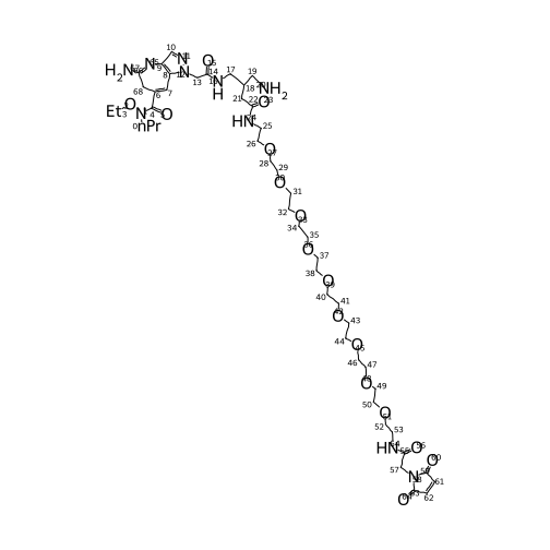 CCCN(OCC)C(=O)C1=Cc2c(cnn2CC(=O)NCC(CN)CC(=O)NCCOCCOCCOCCOCCOCCOCCOCCOCCOCCNC(=O)CN2C(=O)C=CC2=O)N=C(N)C1